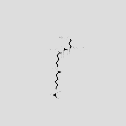 CC(C)C(=O)NCCCCCC(=O)NCCCC[C@H](NC(=O)N[C@@H](CCC(=O)O)C(=O)O)C(=O)O